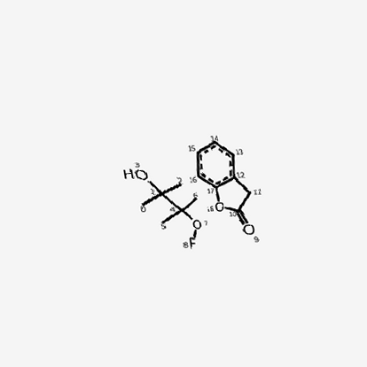 CC(C)(O)C(C)(C)OF.O=C1Cc2ccccc2O1